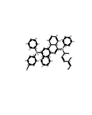 C/C=C(C)\C=C/C(C)N(C1=Cc2c(cc(N(c3ccccc3)c3ccc(C)cc3)c3ccccc23)C2C=CC=CC12)c1ccccc1